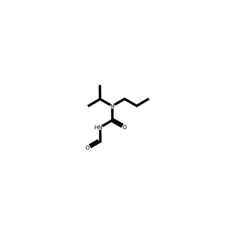 CCCN(C(=O)NC=O)C(C)C